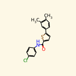 Cc1ccc(-c2ccc(C(=O)Nc3ccc(Cl)cc3)s2)cc1C